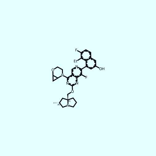 CCc1c(F)ccc2cc(O)cc(-c3ncc4c(N5CCOC6CC65)nc(OC[C@@]56CCCN5C[C@H](C)C6)nc4c3F)c12